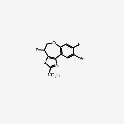 O=C(O)c1nc2c(s1)C(F)COc1cc(F)c(Br)cc1-2